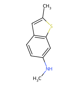 CNc1ccc2cc(C)sc2c1